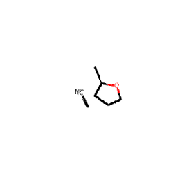 CC#N.CC1CCCO1